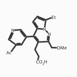 CCc1ccc2c(-c3cncc(C(C)=O)c3)c(CCC(=O)O)c(COC)nn12